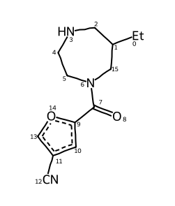 CCC1CNCCN(C(=O)c2cc(C#N)co2)C1